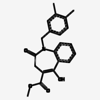 COC(=O)C1=C(O)c2ccccc2N(Cc2ccc(C)c(C)c2)C(=O)C1